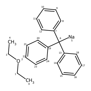 CCOCC.[Na][C](c1ccccc1)(c1ccccc1)c1ccccc1